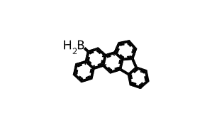 Bc1cc2c3cccc4c3c(cc2c2ccccc12)-c1ccccc1-4